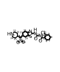 O=C(NC(=O)c1ccccc1Cl)Nc1nc2ccc(C(C3CCNCC3)[SH](=O)=O)cc2s1